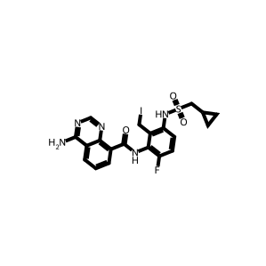 Nc1ncnc2c(C(=O)Nc3c(F)ccc(NS(=O)(=O)CC4CC4)c3CI)cccc12